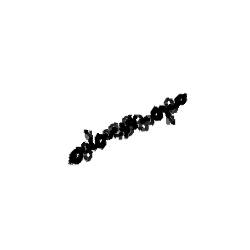 N#C/C(=C\c1ccc(OCC(=O)O[C@H]2CO[C@H]3[C@@H]2OC[C@H]3OC(=O)COc2ccc(/C=C(\C#N)C(=O)Oc3ccccc3)cc2)cc1)C(=O)Oc1ccccc1